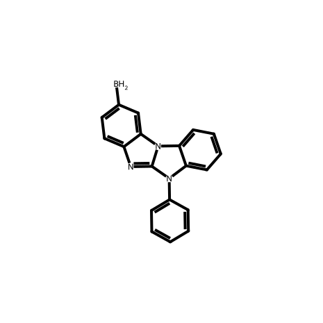 Bc1ccc2nc3n(-c4ccccc4)c4ccccc4n3c2c1